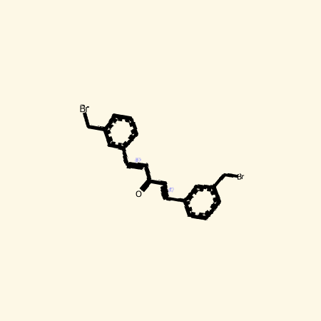 O=C(/C=C/c1cccc(CBr)c1)/C=C/c1cccc(CBr)c1